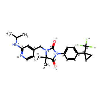 CC(C)Nc1cc(CN2C(=O)N(c3ccc(C4(C(F)(F)F)CC4)cc3)C(=O)C2(C)C)ccn1